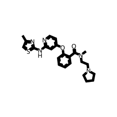 Cc1csc(Nc2cc(Oc3ccccc3C(=O)N(C)CCN3CCCC3)ccn2)n1